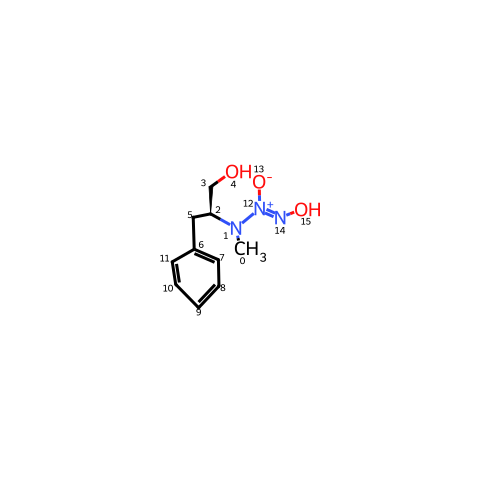 CN([C@H](CO)Cc1ccccc1)[N+]([O-])=NO